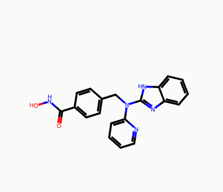 O=C(NO)c1ccc(CN(c2ccccn2)c2nc3ccccc3[nH]2)cc1